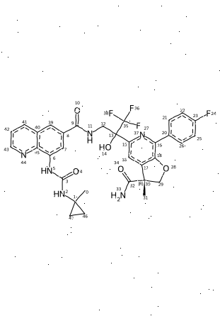 CC1(NC(=O)Nc2cc(C(=O)NCC(O)(c3cc4c(c(-c5ccc(F)cc5)n3)OC[C@]4(C)C(N)=O)C(F)(F)F)cc3cccnc23)CC1